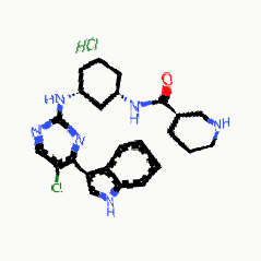 Cl.O=C(N[C@H]1CCC[C@@H](Nc2ncc(Cl)c(-c3c[nH]c4ccccc34)n2)C1)[C@@H]1CCCNC1